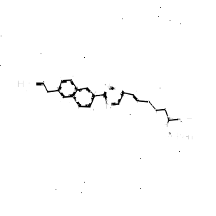 C=CCc1ccc2cc(-c3ncc(/C=C/CCCC(C)OCCCCC)cn3)ccc2c1